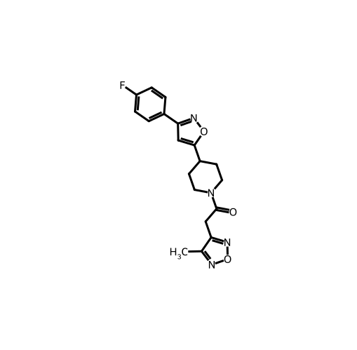 Cc1nonc1CC(=O)N1CCC(c2cc(-c3ccc(F)cc3)no2)CC1